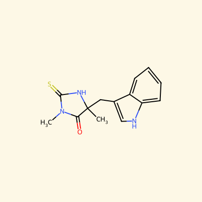 CN1C(=O)C(C)(Cc2c[nH]c3ccccc23)NC1=S